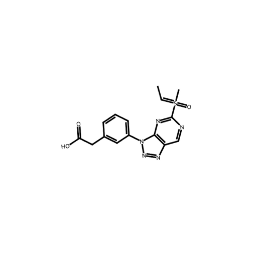 CC=S(C)(=O)c1ncc2nnn(-c3cccc(CC(=O)O)c3)c2n1